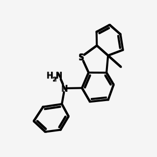 CC12C=CC=CC1Sc1c(N(N)c3ccccc3)cccc12